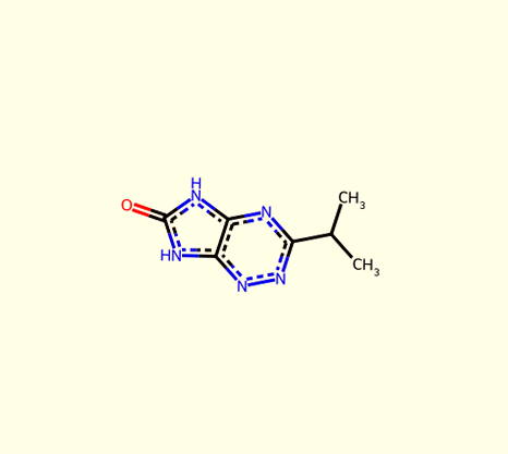 CC(C)c1nnc2[nH]c(=O)[nH]c2n1